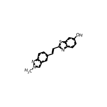 Cn1cc2cc(/C=C/c3nc4ccc(O)cc4s3)ccc2n1